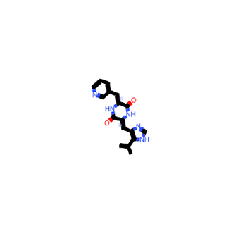 C=C(C)c1[nH]cnc1/C=c1\[nH]c(=O)/c(=C/c2cccnc2)[nH]c1=O